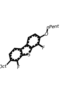 CCCCCCCCc1ccc2c(sc3c(F)c(OCCCCC)ccc32)c1F